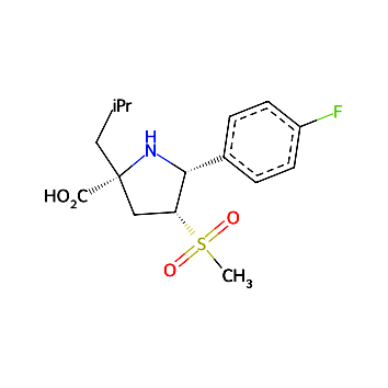 CC(C)C[C@]1(C(=O)O)C[C@@H](S(C)(=O)=O)[C@@H](c2ccc(F)cc2)N1